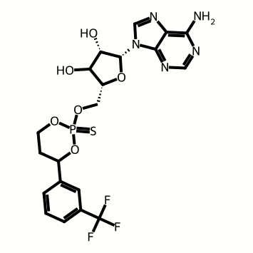 Nc1ncnc2c1ncn2[C@@H]1O[C@H](COP2(=S)OCCC(c3cccc(C(F)(F)F)c3)O2)C(O)[C@@H]1O